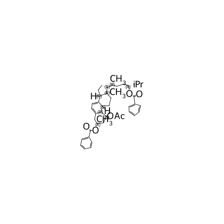 CC(=O)O[C@H]1C[C@H](OC(=O)c2ccccc2)CC2=CC=C3[C@@H]4CC[C@H]([C@H](C)CC[C@@H](OC(=O)c5ccccc5)C(C)C)[C@@]4(C)CC[C@@H]3[C@]21C